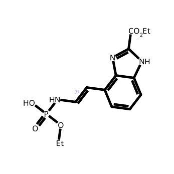 CCOC(=O)c1nc2c(/C=C/NP(=O)(O)OCC)cccc2[nH]1